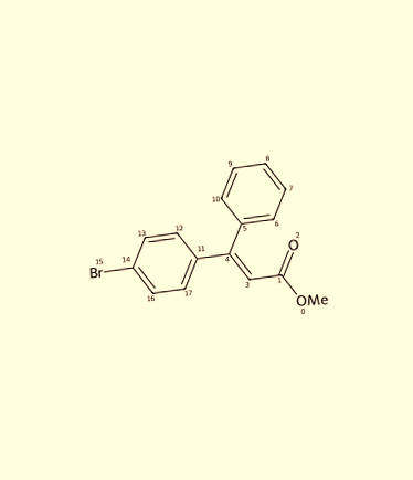 COC(=O)/C=C(\c1ccccc1)c1ccc(Br)cc1